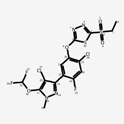 CCS(=O)(=O)c1nnc(Oc2cc(-c3nn(C)c(OC(F)F)c3Cl)c(F)cc2Cl)s1